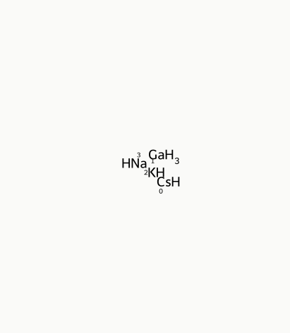 [CsH].[GaH3].[KH].[NaH]